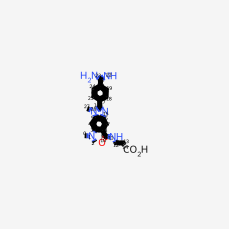 CN(C)c1cc2c(cc1C(=O)NCCC(=O)O)nc(-c1ccc(C(=N)N)cc1)n2C